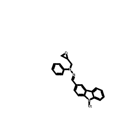 CCn1c2ccccc2c2cc(C=NN(CC3CO3)c3ccccc3)ccc21